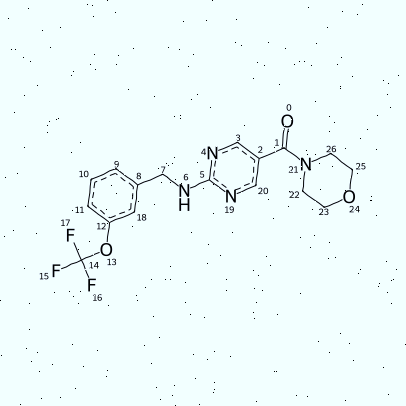 O=C(c1cnc(NCc2cccc(OC(F)(F)F)c2)nc1)N1CCOCC1